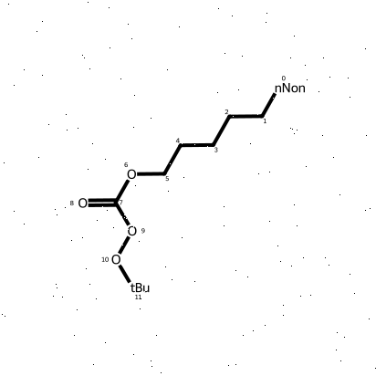 CCCCCCCCCCCCCCOC(=O)OOC(C)(C)C